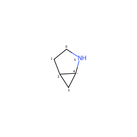 C1CC2C[C]2N1